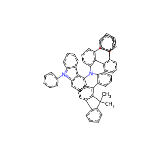 CC1(C)c2ccccc2-c2cccc(-c3ccccc3N(c3cccc(-c4ccccc4)c3-c3ccccc3-c3ccccc3)c3cccc4c3c3ccccc3n4-c3ccccc3)c21